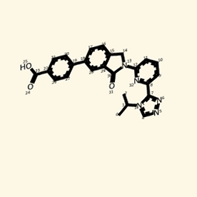 CC(C)n1cnnc1-c1cccc(N2Cc3ccc(-c4ccc(C(=O)O)cc4)cc3C2=O)n1